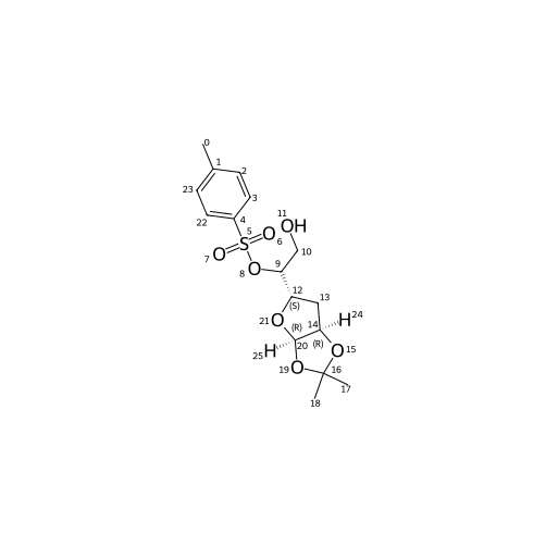 Cc1ccc(S(=O)(=O)OC(CO)[C@@H]2C[C@H]3OC(C)(C)O[C@H]3O2)cc1